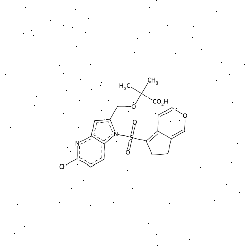 CC(C)(OCc1cc2nc(Cl)ccc2n1S(=O)(=O)C1=C2C=COC=C2CC1)C(=O)O